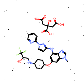 Cn1cnc2c(Nc3ccn(-c4ccccn4)n3)cc(OC3CCC(NC[C@@H](O)C(F)(F)F)CC3)cc21.O=C(O)CC(O)(CC(=O)O)C(=O)O